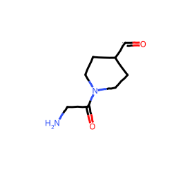 NCC(=O)N1CCC([C]=O)CC1